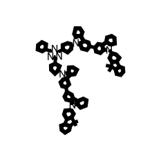 CC1(C)c2ccccc2-c2ccc(-n3c4ccccc4c4cc(-c5ccc6c(c5)c5ccccc5n6-c5ccc(-c6nc(-c7ccccc7)nc(-c7cccc(-n8c9ccccc9c9cc(-c%10ccc%11c(c%10)c%10ccccc%10n%11-c%10ccc%11c(c%10)C(C)(C)c%10ccccc%10-%11)ccc98)c7)n6)cc5)ccc43)cc21